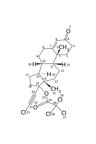 C[C@]12CCC(=O)C=C1CC[C@@H]1[C@H]2CC[C@@]2(C)[C@H]1CCC2(C#CCl)OC(=O)C(Cl)(Cl)Cl